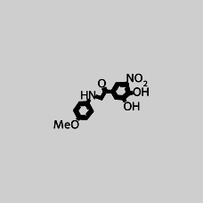 COc1ccc(NCC(=O)c2cc(O)c(O)c([N+](=O)[O-])c2)cc1